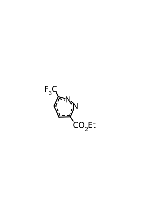 CCOC(=O)c1ccc(C(F)(F)F)nn1